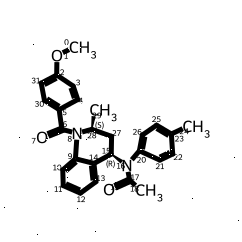 COc1ccc(C(=O)N2c3ccccc3[C@H](N(C(C)=O)c3ccc(C)cc3)C[C@@H]2C)cc1